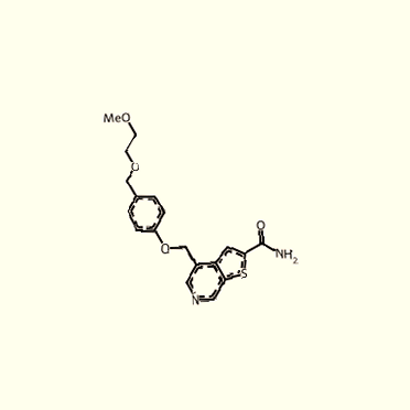 COCCOCc1ccc(OCc2cncc3sc(C(N)=O)cc23)cc1